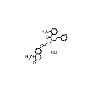 Cc1ccccc1C(=O)N(CCCOc1ccc2c(c1)CCC(=O)N2C)CCc1cccnc1.Cl